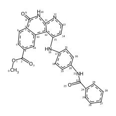 COC(=O)c1ccc2c(=O)[nH]c3nccc(Nc4ccc(NC(=O)c5ccccc5)cc4)c3c2c1